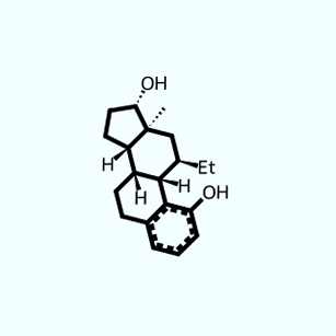 CC[C@@H]1C[C@]2(C)[C@@H](O)CC[C@H]2[C@H]2CCc3cccc(O)c3[C@@H]12